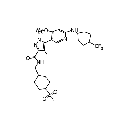 CCn1nc(C(=O)NCC2CCC(S(C)(=O)=O)CC2)c(C)c1-c1cnc(NC2CCC(C(F)(F)F)CC2)cc1OC